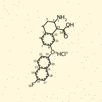 Cl.NC1CCc2ccc(Oc3ccc4cc(F)ccc4c3)cc2C1C(=O)O